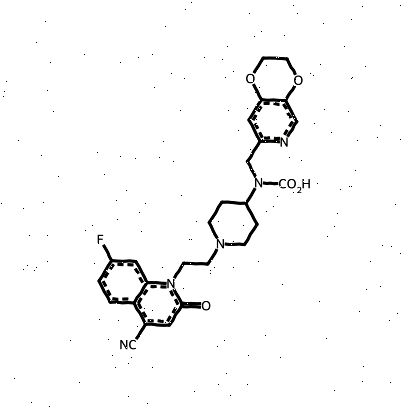 N#Cc1cc(=O)n(CCN2CCC(N(Cc3cc4c(cn3)OCCO4)C(=O)O)CC2)c2cc(F)ccc12